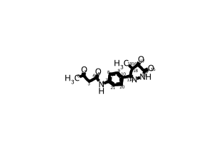 CC(=O)CC(=O)Nc1ccc(C2=NNC(=O)C(=O)C2C)cc1